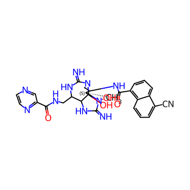 C[C@]1(O)C(NC(=O)c2cccc3c(C#N)cccc23)CN2C(=N)NC(CNC(=O)c3cnccn3)C3NC(=N)N(O)C321